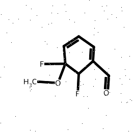 COC1(F)C=CC=C(C=O)C1F